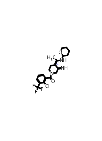 C/C(NC1CCCCO1)=C1\CCN(C(=O)c2cccc(C(F)(F)F)c2Cl)CC1=N